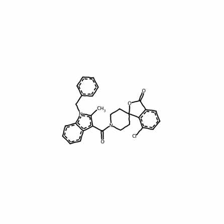 Cc1c(C(=O)N2CCC3(CC2)OC(=O)c2cccc(Cl)c23)c2ccccc2n1Cc1ccccc1